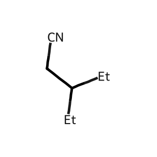 [CH2]CC(CC)CC#N